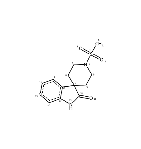 CS(=O)(=O)N1CCC2(CC1)C(=O)Nc1cnccc12